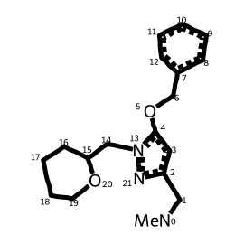 CNCc1cc(OCc2ccccc2)n(CC2CCCCO2)n1